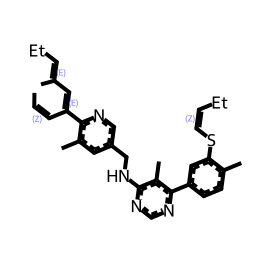 C\C=C/C(=C\C(C)=C\CC)c1ncc(CNc2ncnc(-c3ccc(C)c(S/C=C\CC)c3)c2C)cc1C